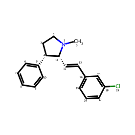 CN1CC[C@@H](c2ccccc2)[C@H]1/C=C/c1cccc(Cl)c1